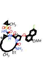 CC[C@@H]1C[C@H](C)CC/C=C\[C@@H]2C[C@@]2(C(=O)NS(=O)(=O)C2(C)CC2)NC(=O)[C@@H]2C[C@@H](Oc3ccc(OC)c4ccc(F)cc34)CN2C(=O)[C@H]1N